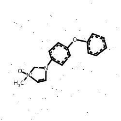 C[N+]1([O-])C=CN(c2ccc(Oc3ccccc3)cc2)C1